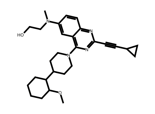 COC1CCCCC1C1CCN(c2nc(C#CC3CC3)nc3ccc(N(C)CCO)cc23)CC1